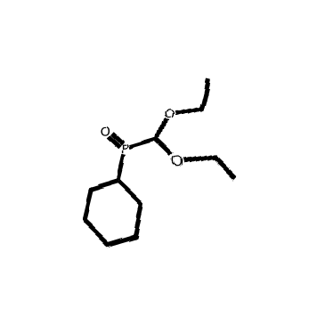 CCOC(OCC)[P](=O)C1CCCCC1